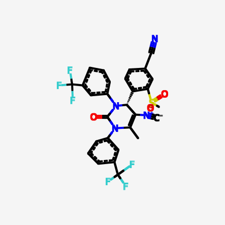 [C-]#[N+]C1=C(C)N(c2cccc(C(F)(F)F)c2)C(=O)N(c2cccc(C(F)(F)F)c2)[C@@H]1c1ccc(C#N)cc1S(C)(=O)=O